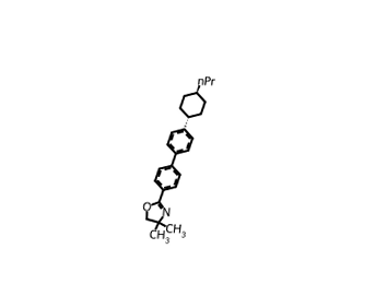 CCC[C@H]1CC[C@H](c2ccc(-c3ccc(C4=NC(C)(C)CO4)cc3)cc2)CC1